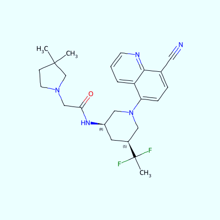 CC1(C)CCN(CC(=O)N[C@@H]2C[C@H](C(C)(F)F)CN(c3ccc(C#N)c4ncccc34)C2)C1